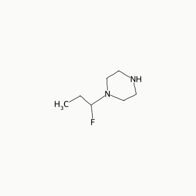 CCC(F)N1CCNCC1